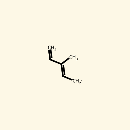 [CH2]/C=C(\C)C=C